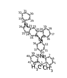 CC1(C)c2ccccc2N(c2ccc(-n3c4ccccc4c4cc5c(ccn5-c5ccccc5)cc43)cc2)c2ccccc21